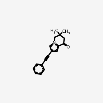 CC1(C)CC(=O)c2cc(C#Cc3ccccc3)cn2C1